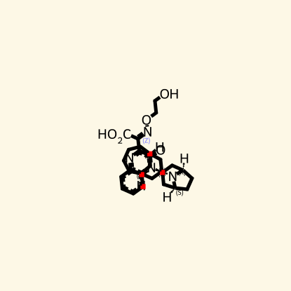 O=C(O)/C(=N\OCCO)c1nc2ccccc2n([C@H]2C[C@H]3CC[C@@H](C2)N3[C@@H]2C[C@@H]3CCCC[C@@H](C3)C2)c1=O